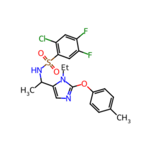 CCn1c(C(C)NS(=O)(=O)c2cc(F)c(F)cc2Cl)cnc1Oc1ccc(C)cc1